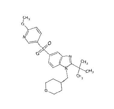 COc1ccc(S(=O)(=O)c2ccc3c(c2)nc(C(C)(C)C)n3CC2CCOCC2)cn1